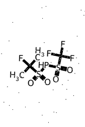 CC(C)(F)S(=O)(=O)PS(=O)(=O)C(F)(F)F